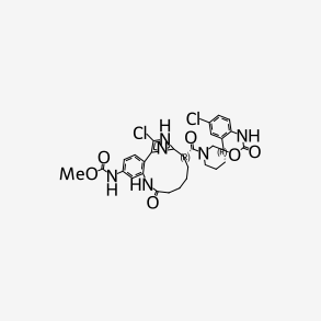 COC(=O)Nc1ccc2c(c1)NC(=O)CCCC[C@@H](C(=O)N1CCC[C@@]3(C1)OC(=O)Nc1ccc(Cl)cc13)c1nc-2c(Cl)[nH]1